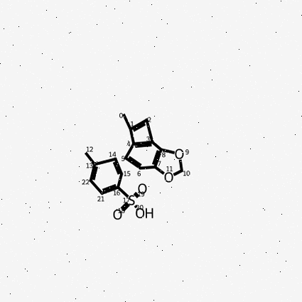 CC1=Cc2c1ccc1c2OCO1.Cc1ccc(S(=O)(=O)O)cc1